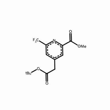 COC(=O)c1cc(CC(=O)OC(C)(C)C)cc(C(F)(F)F)n1